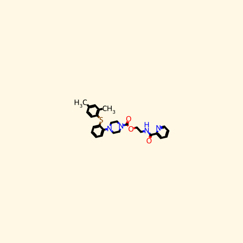 Cc1ccc(Sc2ccccc2N2CCN(C(=O)OCCNC(=O)c3ccccn3)CC2)c(C)c1